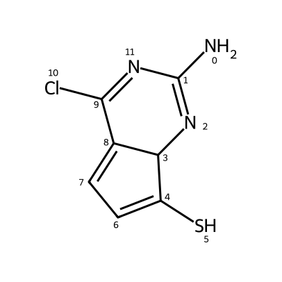 NC1=NC2C(S)=CC=C2C(Cl)=N1